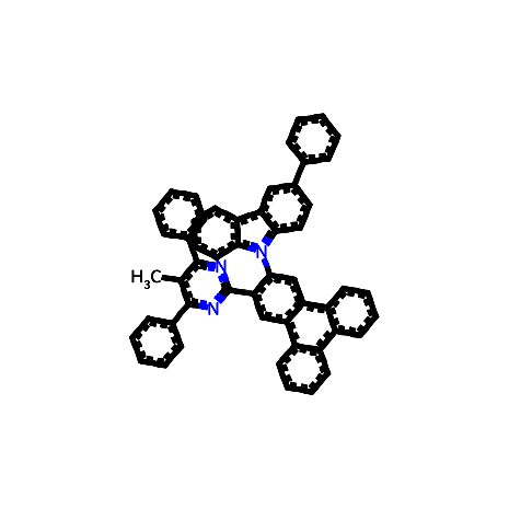 Cc1c(-c2ccccc2)nc(-c2cc3c4ccccc4c4ccccc4c3cc2-n2c3ccccc3c3cc(-c4ccccc4)ccc32)nc1-c1ccccc1